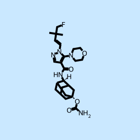 CC(C)(/C=C/n1ncc(C(=O)N[C@H]2C3CC4CC2C[C@](OC(N)=O)(C4)C3)c1N1CCOCC1)CF